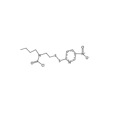 CCCCN(CCSSc1ccc([N+](=O)[O-])cn1)C(=O)Cl